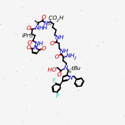 CC(C)[C@H](CC(=O)NN1C(=O)C=CC1=O)C(=O)N[C@@H](C)C(=O)N[C@@H](CCCCNC(=O)CCNC(=O)[C@@H](N)CCN(C(=O)CO)[C@@H](c1cc(-c2cc(F)ccc2F)cn1Cc1ccccc1)C(C)(C)C)C(=O)O